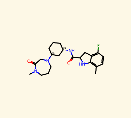 Cc1ccc(F)c2c1NC(C(=O)N[C@H]1CCC[C@H](N3CCCN(C)C(=O)C3)C1)C2